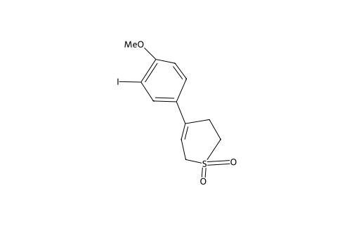 COc1ccc(C2=CCS(=O)(=O)CC2)cc1I